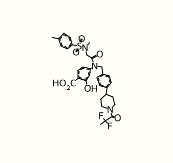 Cc1ccc(S(=O)(=O)N(C)CC(=O)N(Cc2ccc(C3CCN(C(=O)C(C)(F)F)CC3)cc2)c2ccc(C(=O)O)c(O)c2)cc1